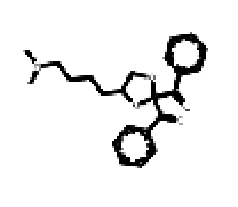 CN(C)CCCCC1COC(C(=O)c2ccccc2)(C(=O)c2ccccc2)O1